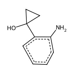 Nc1ccccc1C1(O)CC1